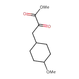 COC(=O)C(=O)CC1CCC(OC)CC1